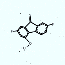 COc1cc(F)cc2c1-c1ccc(F)cc1C2=O